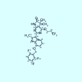 Cc1nc2c(OCc3c(F)ccc(F)c3F)cccn2c1-c1nc2c(c(OCCC(F)(F)F)n1)C(C)(C)C(=O)N2